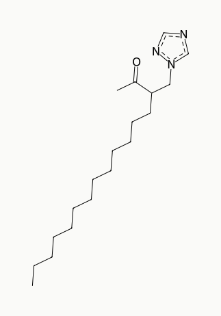 CCCCCCCCCCCCCC(Cn1cncn1)C(C)=O